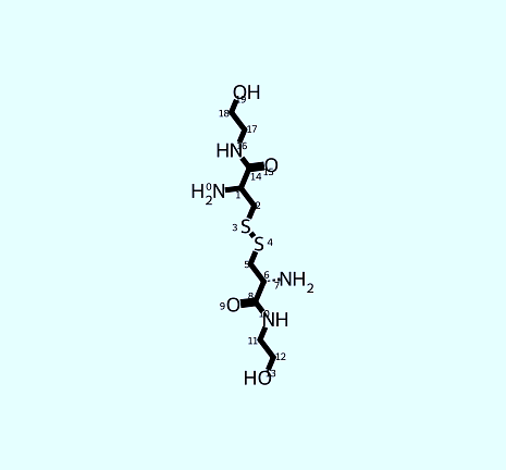 NC(CSSC[C@H](N)C(=O)NCCO)C(=O)NCCO